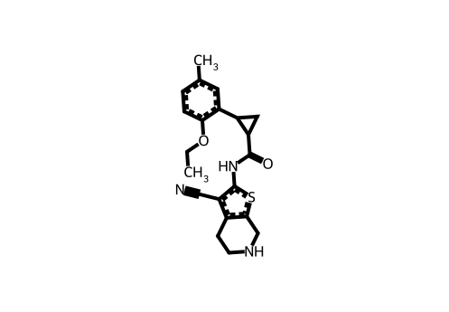 CCOc1ccc(C)cc1C1CC1C(=O)Nc1sc2c(c1C#N)CCNC2